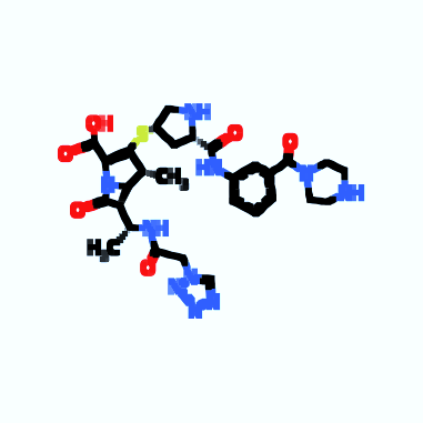 C[C@H]1C(S[C@@H]2CN[C@H](C(=O)Nc3cccc(C(=O)N4CCNCC4)c3)C2)=C(C(=O)O)N2C(=O)[C@H]([C@@H](C)NC(=O)Cn3cnnn3)C12